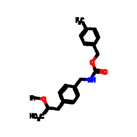 CC(C)OC(Cc1ccc(CNC(=O)OCc2ccc(C(F)(F)F)cc2)cc1)C(=O)O